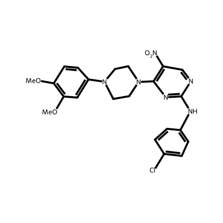 COc1ccc(N2CCN(c3nc(Nc4ccc(Cl)cc4)ncc3[N+](=O)[O-])CC2)cc1OC